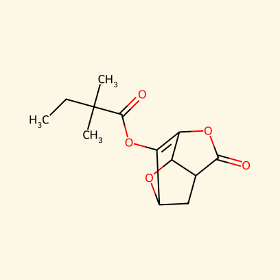 CCC(C)(C)C(=O)OC1=C2OC(=O)C3CC1OC23